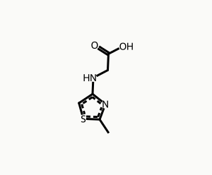 Cc1nc(NCC(=O)O)cs1